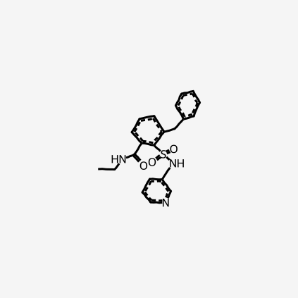 CCNC(=O)c1cccc(Cc2ccccc2)c1S(=O)(=O)Nc1cccnc1